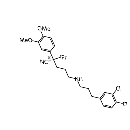 COc1ccc([C@](C#N)(CCCNCCCc2ccc(Cl)c(Cl)c2)C(C)C)cc1OC